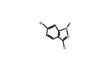 Clc1nn(I)c2cc(Br)ccc12